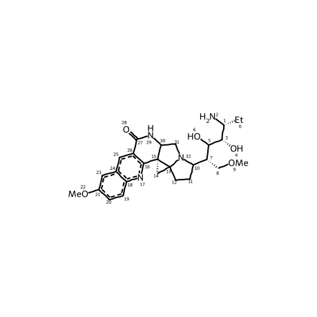 CC[C@@H](N)[C@H](O)C(O)[C@H](COC)C1CCC23C[C@@]24c2nc5ccc(OC)cc5cc2C(=O)NC4CN13